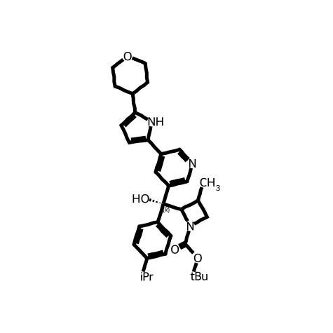 CC(C)c1ccc([C@@](O)(c2cncc(-c3ccc(C4CCOCC4)[nH]3)c2)C2C(C)CN2C(=O)OC(C)(C)C)cc1